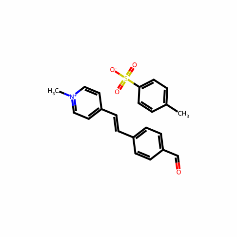 C[n+]1ccc(/C=C/c2ccc(C=O)cc2)cc1.Cc1ccc(S(=O)(=O)[O-])cc1